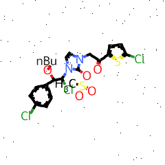 CCCCOC(c1ccc(Cl)cc1)C(Cl)N1C=CN(CC(=O)c2ccc(Cl)s2)C1OS(C)(=O)=O